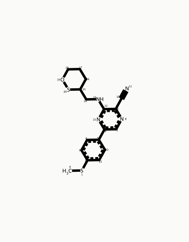 CSc1ccc(-c2cnc(C#N)c(NCC3CCCOS3)n2)cc1